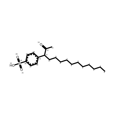 CCCCCCCCCCCC(C(C)=O)c1ccc(S(=O)(=O)O)cc1